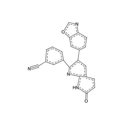 N#Cc1cccc(-c2nc3[nH]c(=O)ccc3cc2-c2ccc3ncoc3c2)c1